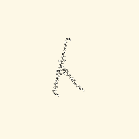 NCCOCCOCCOCCC(=O)NCCN(CCNC(=O)CCOCCOCCOCCN)CCNC(=O)CCOCCOCCOCCN